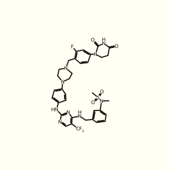 CN(c1cccc(CNc2nc(Nc3ccc(N4CCN(Cc5ccc(N6CCC(=O)NC6=O)cc5F)CC4)cc3)ncc2C(F)(F)F)c1)S(C)(=O)=O